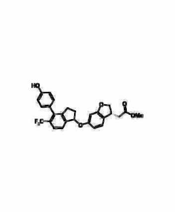 COC(=O)C[C@H]1COc2cc(OC3CCc4c3ccc(C(F)(F)F)c4-c3ccc(O)cc3)ccc21